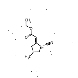 CCOC(=O)C=C1CC(C)C[C@H]1C#N